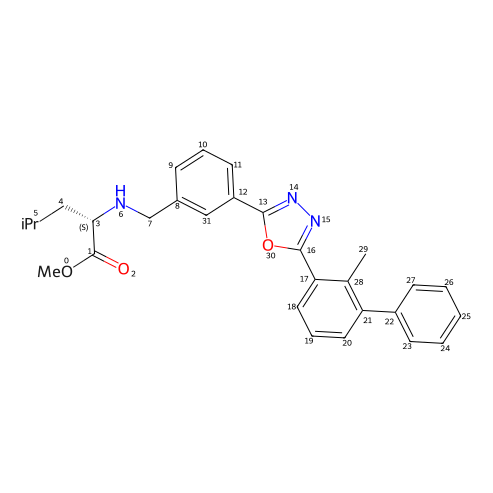 COC(=O)[C@H](CC(C)C)NCc1cccc(-c2nnc(-c3cccc(-c4ccccc4)c3C)o2)c1